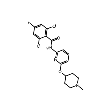 CN1CCC(Oc2cccc(NC(=O)c3c(Cl)cc(F)cc3Cl)n2)CC1